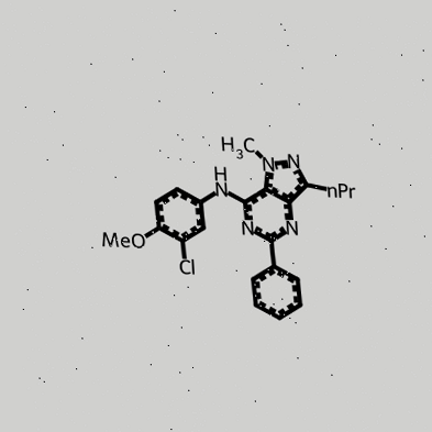 CCCc1nn(C)c2c(Nc3ccc(OC)c(Cl)c3)nc(-c3ccccc3)nc12